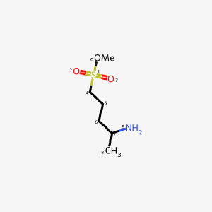 COS(=O)(=O)CCCC(C)N